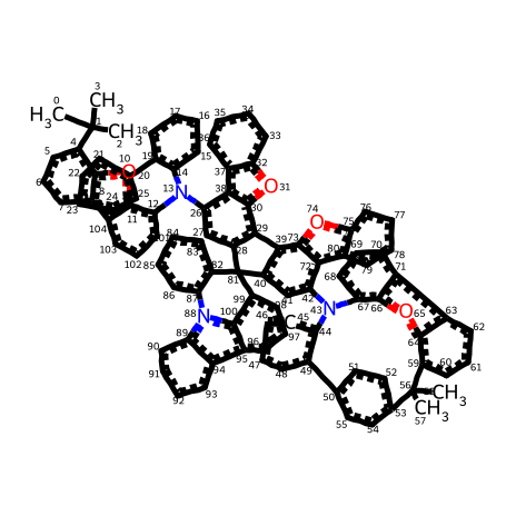 CC(C)(C)c1cccc2c1oc1c(N(c3ccccc3-c3ccccc3)c3cc4c(c5oc6ccccc6c35)-c3c(cc(N5c6ccccc6-c6ccc(cc6)C(C)(C)c6cccc7c6oc6c5cccc67)c5c3oc3ccccc35)C43c4ccccc4-n4c5ccccc5c5cccc3c54)cccc12